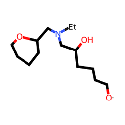 CCN(CC(O)CCCC[O])CC1CCCCO1